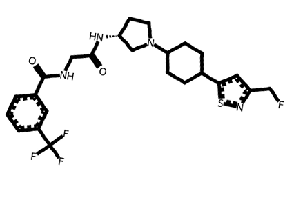 O=C(CNC(=O)c1cccc(C(F)(F)F)c1)N[C@@H]1CCN(C2CCC(c3cc(CF)ns3)CC2)C1